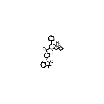 CC1(C)C(=O)N(C2CCN(C(=O)C(CCc3ccccc3)NC(=O)CC3(N)CCC3)CC2)c2ccccc21